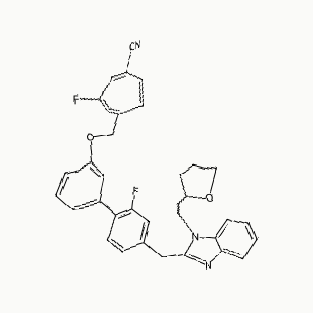 N#Cc1ccc(COc2cccc(-c3ccc(Cc4nc5ccccc5n4CC4CCCO4)cc3F)c2)c(F)c1